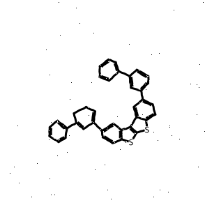 C1=C(c2ccc3sc4sc5ccc(-c6cccc(-c7ccccc7)c6)cc5c4c3c2)C=C(c2ccccc2)CC1